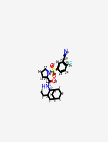 CCC1CC2CCCC(C2)C1NC(=O)C1CCCN1S(=O)(=O)c1ccc(F)c(C#N)c1